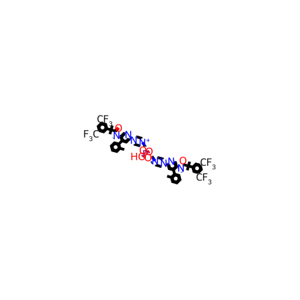 Cc1ccccc1-c1cc(N2CC[N+](C)(COP(=O)(O)OC[N+]3(C)CCN(c4cc(-c5ccccc5C)c(N(C)C(=O)C(C)(C)c5cc(C(F)(F)F)cc(C(F)(F)F)c5)cn4)CC3)CC2)ncc1N(C)C(=O)C(C)(C)c1cc(C(F)(F)F)cc(C(F)(F)F)c1